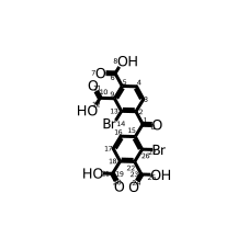 O=C(c1ccc(C(=O)O)c(C(=O)O)c1Br)c1ccc(C(=O)O)c(C(=O)O)c1Br